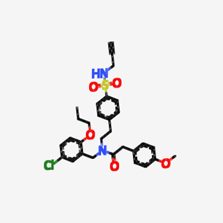 C#CCNS(=O)(=O)c1ccc(CCN(Cc2cc(Cl)ccc2OCCC)C(=O)Cc2ccc(OC)cc2)cc1